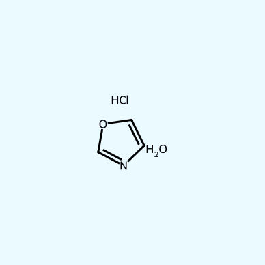 Cl.O.c1cocn1